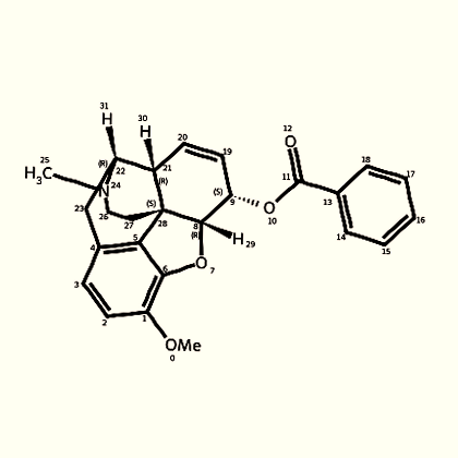 COc1ccc2c3c1O[C@H]1[C@@H](OC(=O)c4ccccc4)C=C[C@H]4[C@@H](C2)N(C)CC[C@@]341